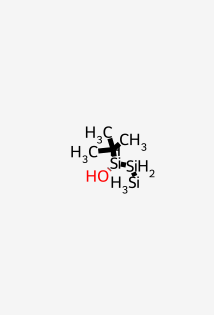 CC(C)(C)[SiH](O)[SiH2][SiH3]